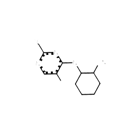 N#CC1CCCCC1Nc1nc(Cl)ncc1Cl